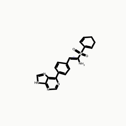 N/C(=C\c1ccc(-c2ncnc3[nH]cnc23)cc1)S(=O)(=O)C1=CCCC=C1